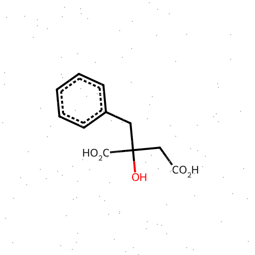 O=C(O)CC(O)(Cc1ccccc1)C(=O)O